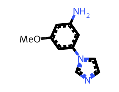 COc1cc(N)cc(-n2ccnc2)c1